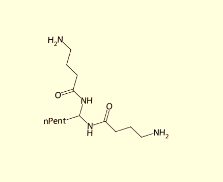 CCCCCC(NC(=O)CCCN)NC(=O)CCCN